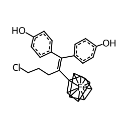 Oc1ccc(C(=C(CCCCl)[C]23[CH]4[CH]5[CH]6[CH]2[Fe]56432789[CH]3[CH]2[CH]7[CH]8[CH]39)c2ccc(O)cc2)cc1